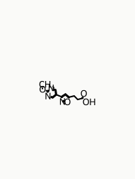 COc1ncc(-c2cc(CCC(=O)O)on2)cn1